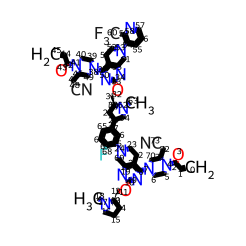 C=CC(=O)N1CCN(c2nc(OC[C@@H]3CCCN3C)nc3c2CCN(c2cc(C4C[C@@H](COc5nc6c(c(N7CCN(C(=O)C=C)C(CC#N)C7)n5)CCN(c5cccnc5C(F)(F)F)C6)N(C)C4)ccc2F)C3)CC1CC#N